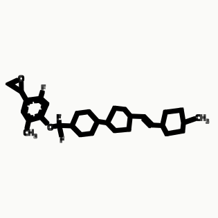 Cc1cc(C2CO2)c(F)cc1OC(F)(F)C1CCC(C2CCC(/C=C/C3CCC(C)CC3)CC2)CC1